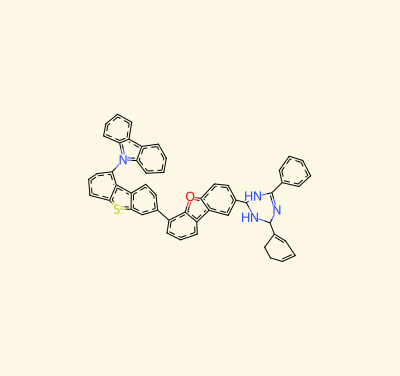 C1=CCCC(C2N=C(c3ccccc3)NC(c3ccc4oc5c(-c6ccc7c(c6)sc6cccc(-n8c9ccccc9c9ccccc98)c67)cccc5c4c3)N2)=C1